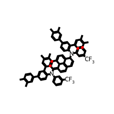 Cc1ccc(-c2ccc(N(C3=C4C=CC5=C6C(=CC=C(C=C3)C46)C(N(c3cccc(C(F)(F)F)c3)c3ccc(-c4ccc(C)c(C)c4)cc3-c3ccc(C)c(C)c3)C=C5)c3cccc(C(F)(F)F)c3)c(-c3ccc(C)c(C)c3)c2)cc1C